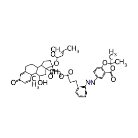 CCCC(OC)OC1(C(=O)COC(=O)CCc2ccccc2/N=N/c2ccc3c(c2)C(=O)OC(C)(C)O3)CCC2C3CCC4=CC(=O)C=CC4(C)C3C(O)CC21C